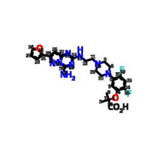 CC(C)(Oc1cc(N2CCN(CCNc3nc(N)n4nc(-c5ccco5)cc4n3)CC2)c(F)cc1F)C(=O)O